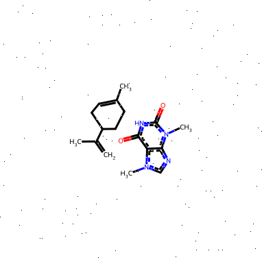 C=C(C)C1CC=C(C)CC1.Cn1cnc2c1c(=O)[nH]c(=O)n2C